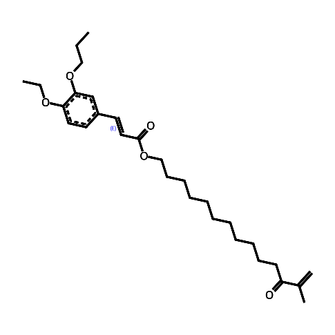 C=C(C)C(=O)CCCCCCCCCCCOC(=O)/C=C/c1ccc(OCC)c(OCCC)c1